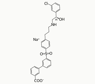 O=C([O-])c1cccc(-c2cccc(S(=O)(=O)c3ccc(CCCNC[C@H](O)c4cccc(Cl)c4)cc3)c2)c1.[Na+]